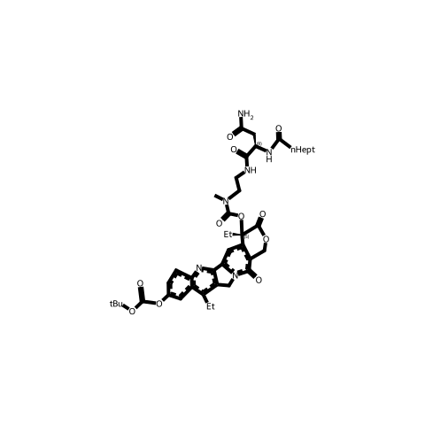 CCCCCCCC(=O)N[C@H](CC(N)=O)C(=O)NCCN(C)C(=O)O[C@]1(CC)C(=O)OCc2c1cc1n(c2=O)Cc2c-1nc1ccc(OC(=O)OC(C)(C)C)cc1c2CC